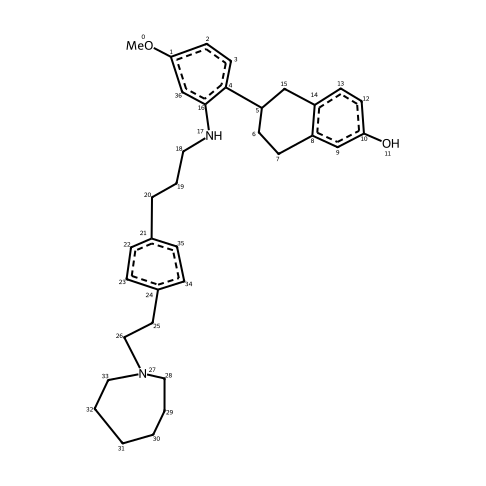 COc1ccc(C2CCc3cc(O)ccc3C2)c(NCCCc2ccc(CCN3CCCCCC3)cc2)c1